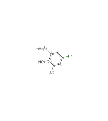 CCCCCC[CH]c1cc(F)cc(CC)c1C#N